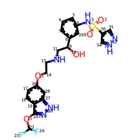 O=S(=O)(Nc1cccc(C(O)CNCCOc2ccc3c(OC(F)F)n[nH]c3c2)c1)c1cn[nH]c1